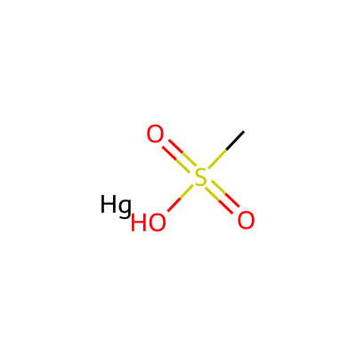 CS(=O)(=O)O.[Hg]